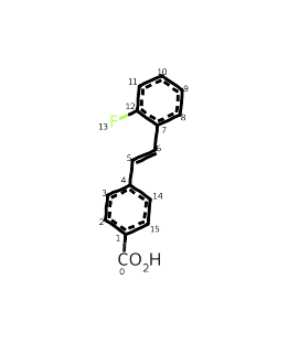 O=C(O)c1ccc(/C=C/c2ccccc2F)cc1